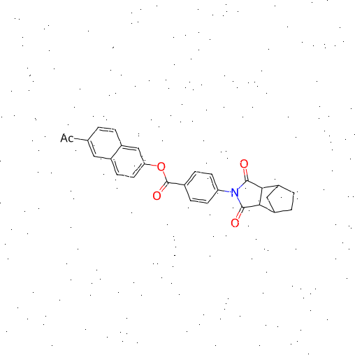 CC(=O)c1ccc2cc(OC(=O)c3ccc(N4C(=O)C5C6CCC(C6)C5C4=O)cc3)ccc2c1